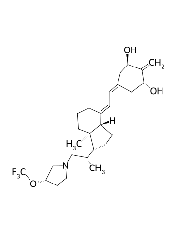 C=C1[C@H](O)CC(=C/C=C2\CCC[C@]3(C)[C@@H]([C@H](C)CN4CC[C@H](OC(F)(F)F)C4)CC[C@@H]23)C[C@H]1O